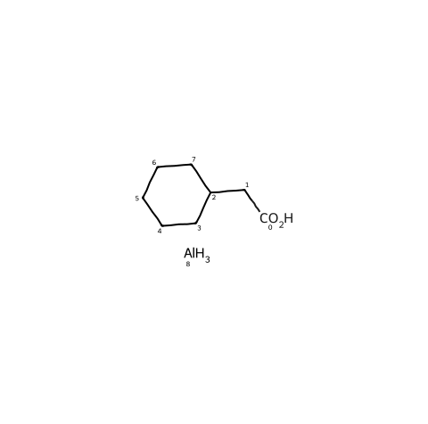 O=C(O)CC1CCCCC1.[AlH3]